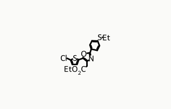 CCOC(=O)Cc1nc(-c2ccc(SCC)cc2)oc1-c1ccc(Cl)s1